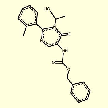 Cc1ccccc1-c1ncc(NC(=O)OCc2ccccc2)c(=O)n1C(C)O